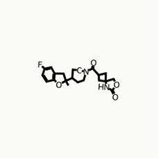 CC1(C2CCN(C(=O)C3CC4(COC(=O)N4)C3)CC2)Cc2cc(F)ccc2O1